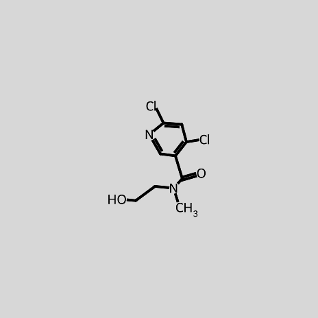 CN(CCO)C(=O)c1cnc(Cl)cc1Cl